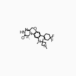 C[C@@H]1C(=O)NN=C2COc3cc(C4=CCC(F)(F)CC4)c(N(C)C4(C)CN(C)C4)cc3N21